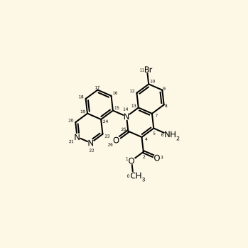 COC(=O)c1c(N)c2ccc(Br)cc2n(-c2cccc3cnncc23)c1=O